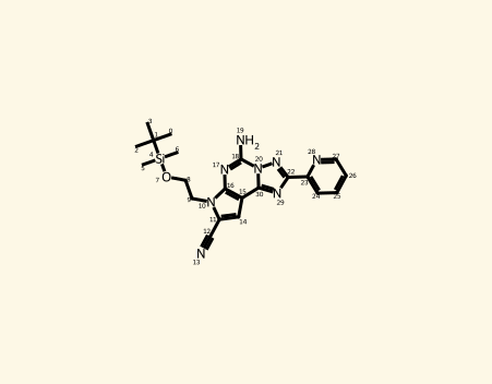 CC(C)(C)[Si](C)(C)OCCn1c(C#N)cc2c1nc(N)n1nc(-c3ccccn3)nc21